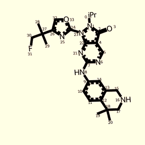 CC(C)n1c(=O)c2cnc(Nc3ccc4c(c3)CNCC4(C)C)nc2n1-c1nc(C(C)(C)CF)co1